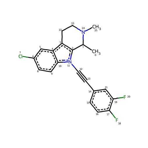 CC1c2c(c3cc(Cl)ccc3n2C#Cc2ccc(F)c(F)c2)CCN1C